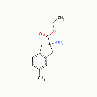 CCOC(=O)C1(N)Cc2ccc(C)cc2C1